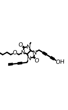 C#CC#CCN1C(=O)N(CC#CC#CO)C2C1N(COCCCC)C(=O)N2C